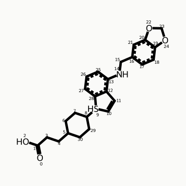 O=C(O)CCC1CCC([SH]2C=Cc3c(NCc4ccc5c(c4)OCO5)cccc32)CC1